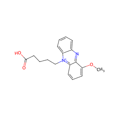 COc1cccc2c1nc1ccccc1[n+]2CCCCC(=O)O